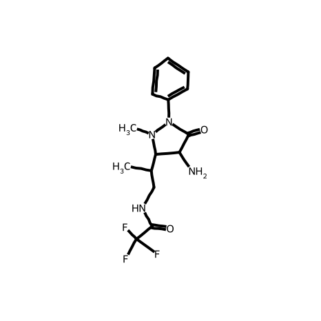 CC(CNC(=O)C(F)(F)F)C1C(N)C(=O)N(c2ccccc2)N1C